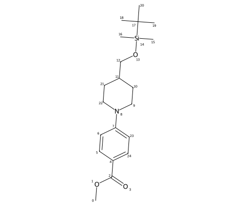 COC(=O)c1ccc(N2CCC(CO[Si](C)(C)C(C)(C)C)CC2)cc1